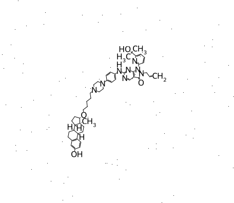 C=CCn1c(=O)c2cnc(Nc3ccc(N4CCN(CCCCCO[C@H]5CC[C@H]6[C@@H]7CCc8cc(O)ccc8[C@H]7CC[C@]56C)CC4)cc3)nc2n1-c1cccc(C(C)(C)O)n1